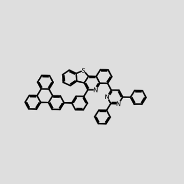 c1ccc(-c2cc(-c3cccc4c3nc(-c3cccc(-c5ccc6c7ccccc7c7ccccc7c6c5)c3)c3c5ccccc5sc43)nc(-c3ccccc3)n2)cc1